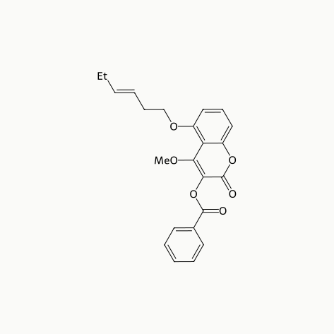 CC/C=C/CCOc1cccc2oc(=O)c(OC(=O)c3ccccc3)c(OC)c12